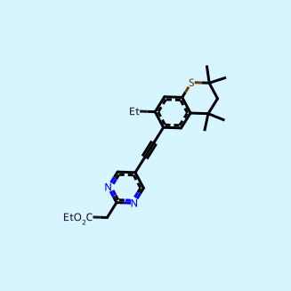 CCOC(=O)Cc1ncc(C#Cc2cc3c(cc2CC)SC(C)(C)CC3(C)C)cn1